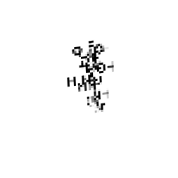 CC(C)(C)C(c1nn(-c2cc(F)ccc2F)cc1Cc1ccccc1)N(CCC(N)C(=O)NCCNC(=O)CBr)C(=O)CO